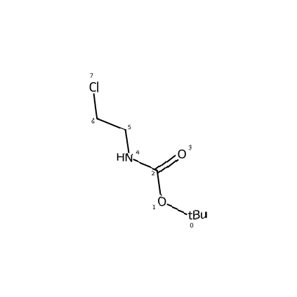 CC(C)(C)OC(=O)NC[CH]Cl